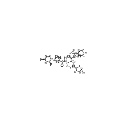 O=C(N[C@H]1CCN(C2CC3CC3C2)C[C@@H]1C(=O)NC1(c2ncccn2)CC1)c1cc(-c2ccc(F)cc2F)on1